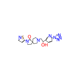 O=C1N(c2ccns2)CCC12CCN(CC(O)c1ccc(-n3cnnn3)nc1)CC2